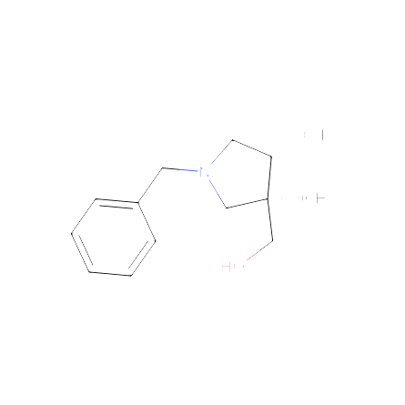 C[C@H]1CN(Cc2ccccc2)C[C@]1(C)CO